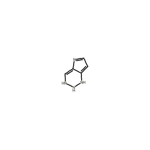 C1=NC2=CNNNC2=C1